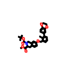 COC(=O)C1Cc2ccc(OCc3cccc(-c4ccc5c(c4)OCCO5)c3C)cc2CN1C(=O)OC(C)(C)C